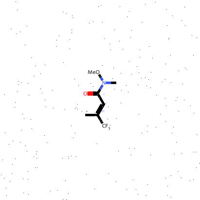 CON(C)C(=O)/C=C(\C)C(F)(F)F